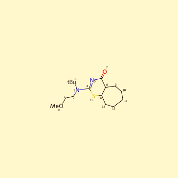 COCCN(C1=NC(=O)C2CCCCCC2S1)C(C)(C)C